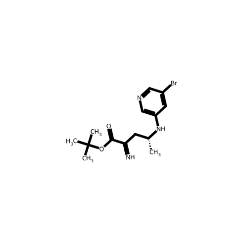 C[C@H](CC(=N)C(=O)OC(C)(C)C)Nc1cncc(Br)c1